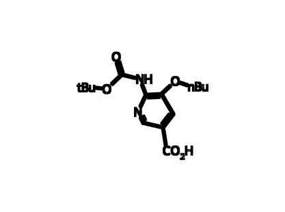 CCCCOc1cc(C(=O)O)cnc1NC(=O)OC(C)(C)C